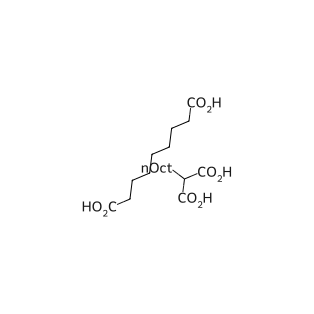 CCCCCCCCC(C(=O)O)C(=O)O.O=C(O)CCCCCCCC(=O)O